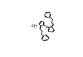 C1=CC(=CCCc2ccccc2)[C]([Zr+2][C]2=CC=CC2=CCCc2ccccc2)=C1.[Cl-].[Cl-]